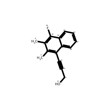 Cc1c(C)c(C#CCO)c2ccccc2c1F